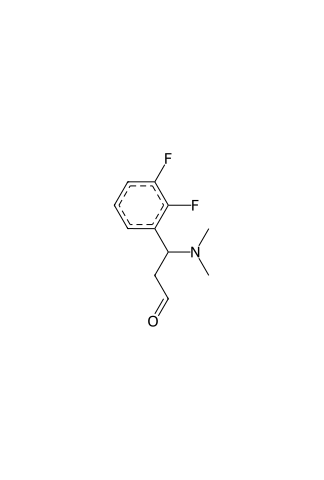 CN(C)C(CC=O)c1cccc(F)c1F